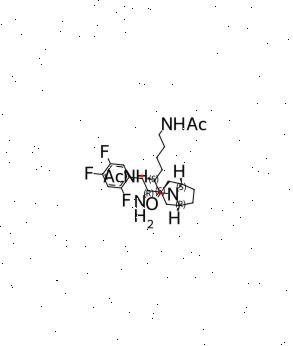 CC(=O)NCCCC[C@H](NC(C)=O)C(=O)N1[C@@H]2CC[C@H]1C[C@H]([C@H](N)Cc1cc(F)c(F)cc1F)C2